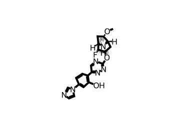 CO[C@@H]1C[C@@H]2N[C@H]1C[C@@H](Oc1ncc(-c3ccc(-n4ccnc4)cc3O)nn1)[C@@H]2F